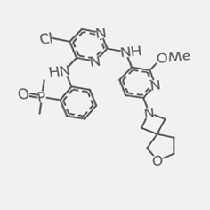 COc1nc(N2CC3(CCOC3)C2)ccc1Nc1ncc(Cl)c(Nc2ccccc2P(C)(C)=O)n1